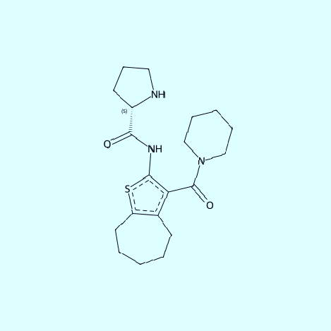 O=C(Nc1sc2c(c1C(=O)N1CCCCC1)CCCCC2)[C@@H]1CCCN1